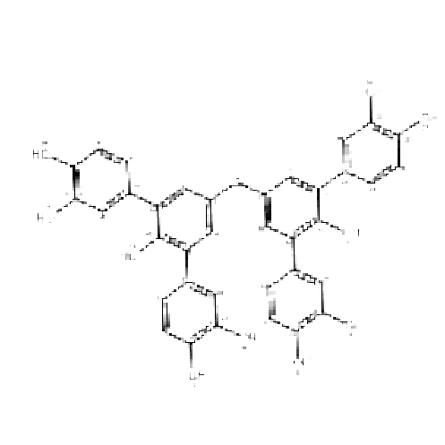 Oc1ccc(-c2cc(Sc3cc(-c4ccc(O)c(O)c4)c(O)c(-c4ccc(O)c(O)c4)c3)cc(-c3ccc(O)c(O)c3)c2O)cc1O